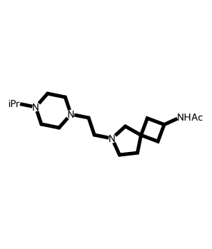 CC(=O)NC1CC2(CCN(CCN3CCN(C(C)C)CC3)C2)C1